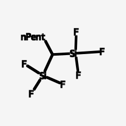 CCCCCC([Si](F)(F)F)[Si](F)(F)F